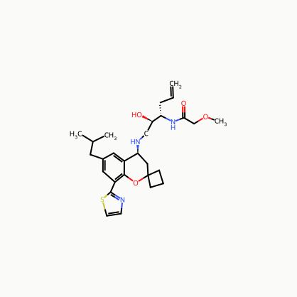 C=CC[C@H](NC(=O)COC)[C@H](O)CN[C@H]1CC2(CCC2)Oc2c(-c3nccs3)cc(CC(C)C)cc21